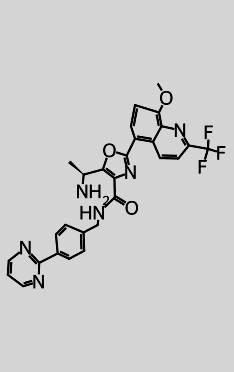 COc1ccc(-c2nc(C(=O)NCc3ccc(-c4ncccn4)cc3)c([C@H](C)N)o2)c2ccc(C(F)(F)F)nc12